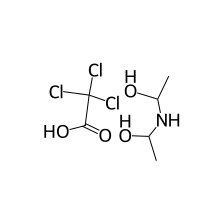 CC(O)NC(C)O.O=C(O)C(Cl)(Cl)Cl